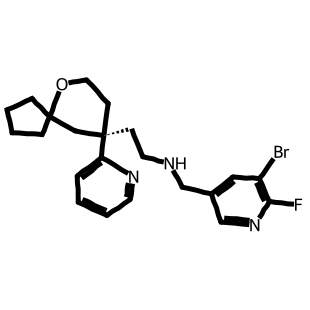 Fc1ncc(CNCC[C@@]2(c3ccccn3)CCOC3(CCCC3)C2)cc1Br